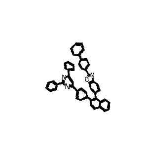 c1ccc(-c2ccc(-c3nc4ccc(-c5c(-c6ccc(-c7cc(-c8ccccc8)nc(-c8ccccc8)n7)cc6)ccc6ccccc56)cc4o3)cc2)cc1